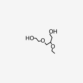 CCOC(CCO)COCCO